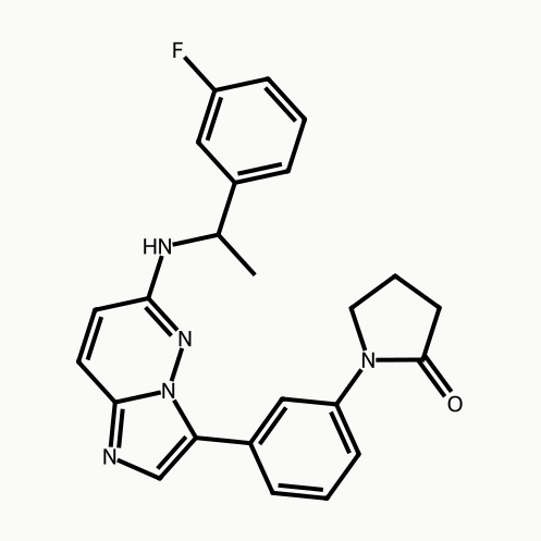 CC(Nc1ccc2ncc(-c3cccc(N4CCCC4=O)c3)n2n1)c1cccc(F)c1